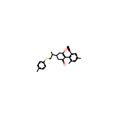 C#Cc1cc(C)cc(C)c1C1=C(O)CC(C(C)CSc2ccc(C)cc2)CC1=O